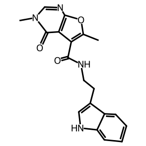 Cc1oc2ncn(C)c(=O)c2c1C(=O)NCCc1c[nH]c2ccccc12